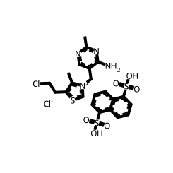 Cc1ncc(C[n+]2csc(CCCl)c2C)c(N)n1.O=S(=O)(O)c1cccc2c(S(=O)(=O)O)cccc12.[Cl-]